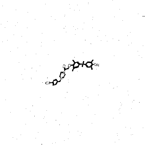 Cc1cc(C(C)(C)c2cc(C)c(OCC(=O)N3CCN(Cc4ccc(Cl)cc4)CC3)c(C)c2)cc(C)c1O